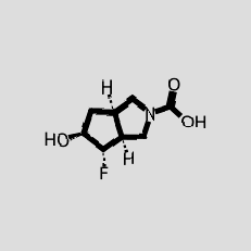 O=C(O)N1C[C@@H]2C[C@H](O)[C@@H](F)[C@@H]2C1